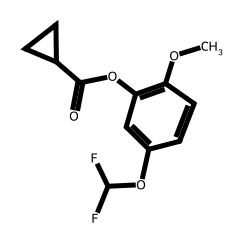 COc1ccc(OC(F)F)cc1OC(=O)C1CC1